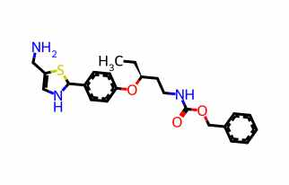 CC[C@@H](CCNC(=O)OCc1ccccc1)Oc1ccc(C2NC=C(CN)S2)cc1